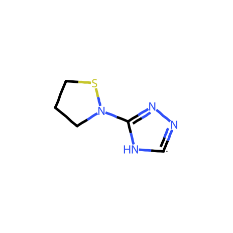 [c]1nnc(N2CCCS2)[nH]1